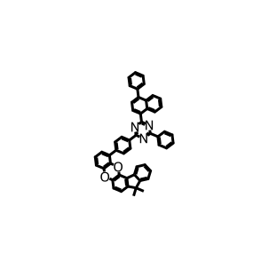 CC1(C)c2ccccc2-c2c1ccc1c2Oc2c(cccc2-c2ccc(-c3nc(-c4ccccc4)nc(-c4ccc(-c5ccccc5)c5ccccc45)n3)cc2)O1